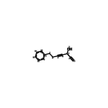 C#CC(O)C#CCCc1ccccc1